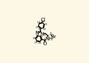 O=C1N[C@@H](CBr)Cn2c(-c3ccc(Cl)cc3)nc3cccc1c32